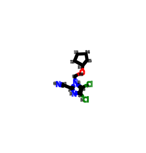 N#Cc1nc(Cl)c(Cl)n1COC1CCCC1